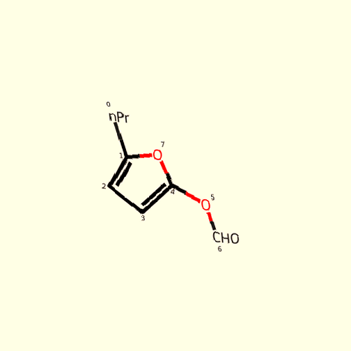 CCCc1ccc(OC=O)o1